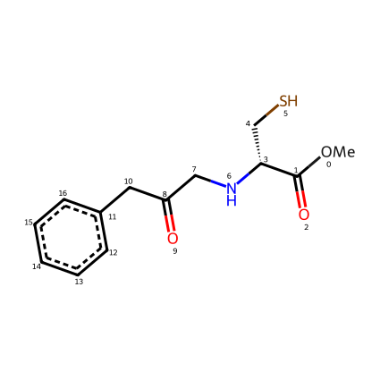 COC(=O)[C@@H](CS)NCC(=O)Cc1ccccc1